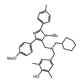 CCCCn1c(-c2ccc(C)cc2)nc(-c2ccc(OC)cc2)c1CN(Cc1cc(C)c(O)c(C)c1)CC1CCCCC1